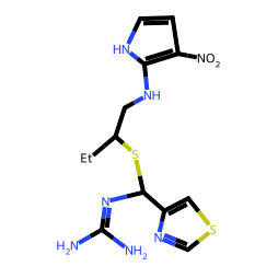 CCC(CNc1[nH]ccc1[N+](=O)[O-])SC(N=C(N)N)c1cscn1